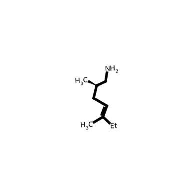 CC/C(C)=C/C[C@@H](C)CN